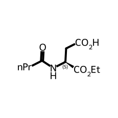 CCCC(=O)N[C@@H](CC(=O)O)C(=O)OCC